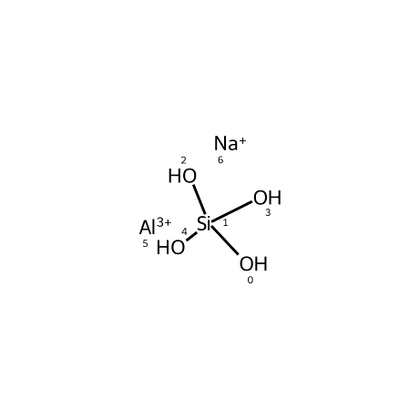 O[Si](O)(O)O.[Al+3].[Na+]